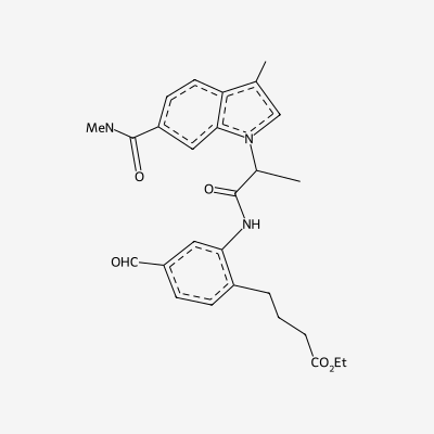 CCOC(=O)CCCc1ccc(C=O)cc1NC(=O)C(C)n1cc(C)c2ccc(C(=O)NC)cc21